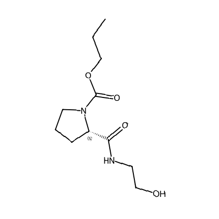 CCCOC(=O)N1CCC[C@H]1C(=O)NCCO